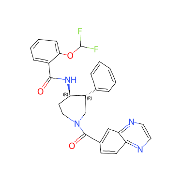 O=C(N[C@@H]1CCN(C(=O)c2ccc3nccnc3c2)C[C@H]1c1ccccc1)c1ccccc1OC(F)F